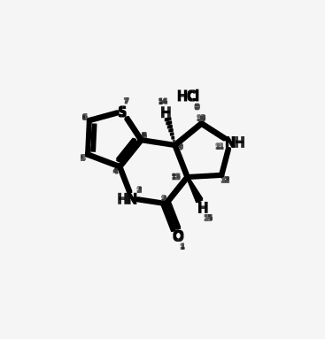 Cl.O=C1Nc2ccsc2[C@H]2CNC[C@H]12